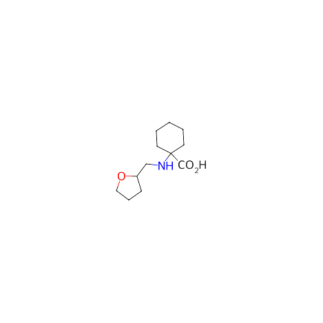 O=C(O)C1(NCC2CCCO2)CCCCC1